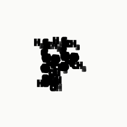 CC/C(=C(\c1ccccc1)c1ccc(OCCN(C)C)cc1)c1ccccc1.CC/C(=C(\c1ccccc1)c1ccc(OCCN(C)C)cc1)c1ccccc1.O=C(O)CC(O)(CC(=O)O)C(=O)O